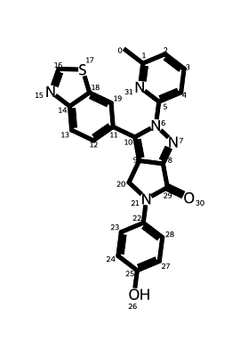 Cc1cccc(-n2nc3c(c2-c2ccc4ncsc4c2)CN(c2ccc(O)cc2)C3=O)n1